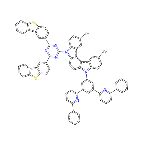 CC(C)c1ccc2c(c1)c1c3c4cc(C(C)C)ccc4n(-c4nc(-c5ccc6sc7ccccc7c6c5)nc(-c5ccc6sc7ccccc7c6c5)n4)c3ccc1n2-c1cc(-c2cccc(-c3ccccc3)n2)cc(-c2cccc(-c3ccccc3)n2)c1